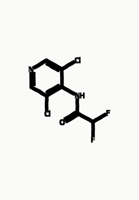 O=C(Nc1c(Cl)cncc1Cl)C(F)F